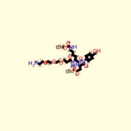 CC(C)(C)OC(=O)CC(NC(=O)C(CCCCNC(=O)OC(C)(C)C)NC(=O)CCOCCOCCOCCN)C(=O)Nc1ccc(CO)cc1